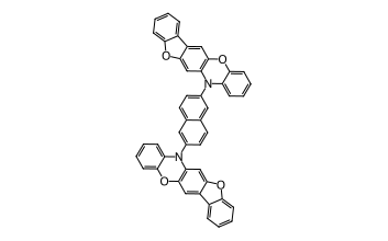 c1ccc2c(c1)Oc1cc3c(cc1N2c1ccc2cc(N4c5ccccc5Oc5cc6c(cc54)oc4ccccc46)ccc2c1)oc1ccccc13